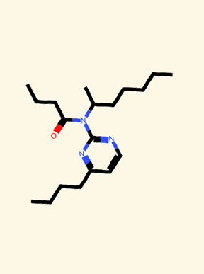 CCCCCC(C)N(C(=O)CCC)c1nccc(CCCC)n1